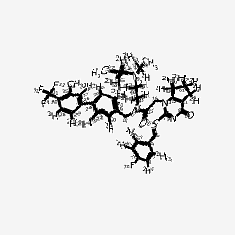 [2H]c1c([2H])c(CSc2nc(=O)c3c(n2CC(=O)N(Cc2c([2H])c([2H])c(-c4c([2H])c([2H])c(C(F)(F)F)c(C)c4[2H])c([2H])c2[2H])C([2H])([2H])C([2H])([2H])N(C([2H])([2H])C)C([2H])([2H])C)C([2H])([2H])C([2H])([2H])C3([2H])[2H])c([2H])c([2H])c1F